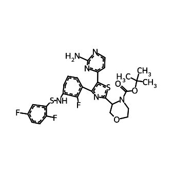 CC(C)(C)OC(=O)N1CCOCC1c1nc(-c2cccc(NSc3cc(F)ccc3F)c2F)c(-c2ccnc(N)n2)s1